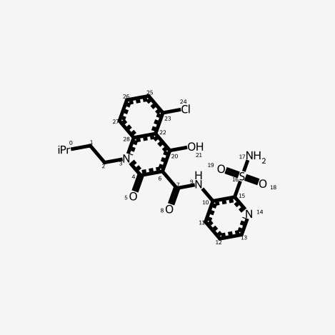 CC(C)CCn1c(=O)c(C(=O)Nc2cccnc2S(N)(=O)=O)c(O)c2c(Cl)cccc21